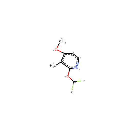 [CH2]c1c(OC)ccnc1OC(F)F